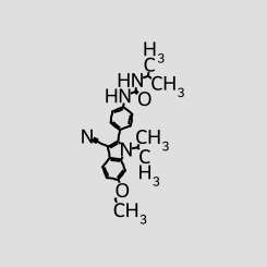 CCOc1ccc2c(C#N)c(-c3ccc(NC(=O)NC(C)C)cc3)n(C(C)C)c2c1